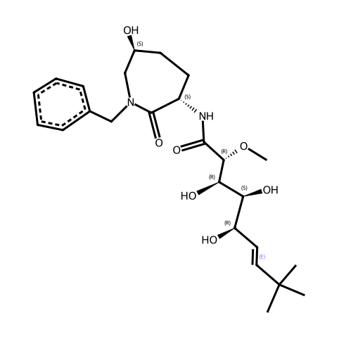 CO[C@@H](C(=O)N[C@H]1CC[C@H](O)CN(Cc2ccccc2)C1=O)[C@H](O)[C@@H](O)[C@H](O)/C=C/C(C)(C)C